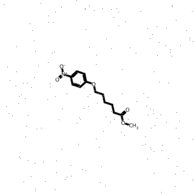 COC(=O)CCCCCOc1ccc([N+](=O)[O-])cc1